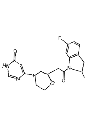 CC1Cc2ccc(F)cc2N1C(=O)CC1CN(c2cc(=O)[nH]cn2)CCO1